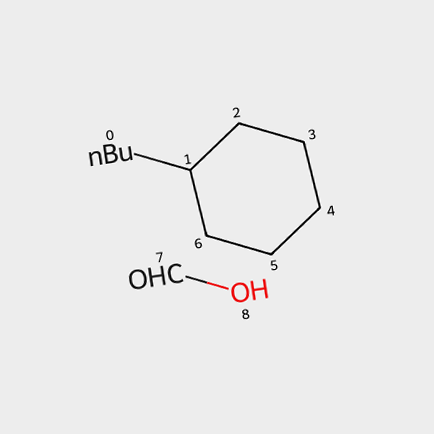 CCCCC1CCCCC1.O=CO